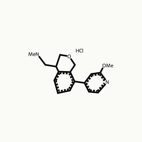 CNCC1COCc2c(-c3ccnc(OC)c3)cccc21.Cl